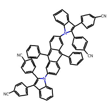 N#Cc1ccc(-c2c(-c3ccc(C#N)cc3)n(-c3ccc4c(-c5ccccc5)c5cc(-n6c(-c7ccc(C#N)cc7)c(-c7ccc(C#N)cc7)c7ccccc76)ccc5c(-c5ccccc5)c4c3)c3ccccc23)cc1